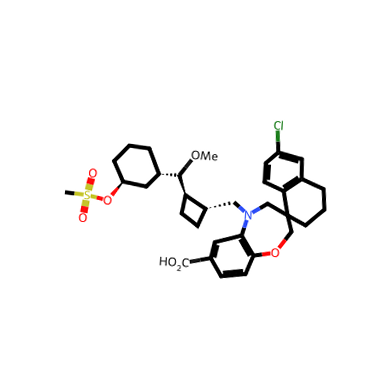 COC([C@H]1CCC[C@H](OS(C)(=O)=O)C1)[C@@H]1CC[C@H]1CN1CC2(CCCc3cc(Cl)ccc32)COc2ccc(C(=O)O)cc21